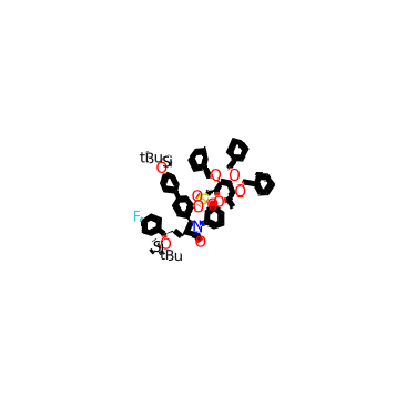 CC1O[C@@H](CS(=O)(=O)Oc2cc(-c3ccc(O[Si](C)(C)C(C)(C)C)cc3)ccc2[C@@H]2[C@@H](CC[C@H](O[Si](C)(C)C(C)(C)C)c3ccc(F)cc3)C(=O)N2c2ccccc2)C(OCc2ccccc2)[C@H](OCc2ccccc2)[C@@H]1OCc1ccccc1